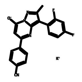 Cc1nn2c([O-])cc(-c3ccc(C#N)cc3)nc2c1-c1ccc(F)cc1F.[K+]